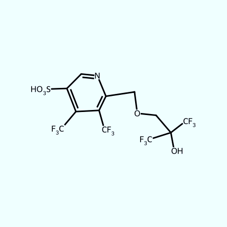 O=S(=O)(O)c1cnc(COCC(O)(C(F)(F)F)C(F)(F)F)c(C(F)(F)F)c1C(F)(F)F